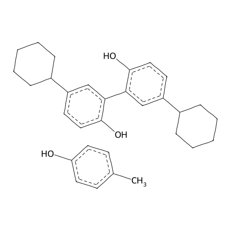 Cc1ccc(O)cc1.Oc1ccc(C2CCCCC2)cc1-c1cc(C2CCCCC2)ccc1O